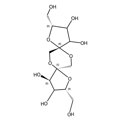 OC[C@H]1O[C@]2(CO[C@@]3(CO2)O[C@H](CO)C(O)[C@H]3O)C(O)C1O